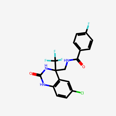 O=C1Nc2ccc(Cl)cc2C(CNC(=O)c2ccc(F)cc2)(C(F)(F)F)N1